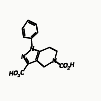 O=C(O)c1nn(-c2ccccc2)c2c1CN(C(=O)O)CC2